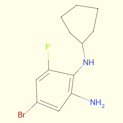 Nc1cc(Br)cc(F)c1NC1CCCCC1